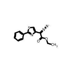 CCOC(=O)C(=[N+]=[N-])c1csc(-c2ccccc2)n1